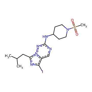 CC(C)Cc1nc(I)c2cnc(NC3CCN(S(C)(=O)=O)CC3)nn12